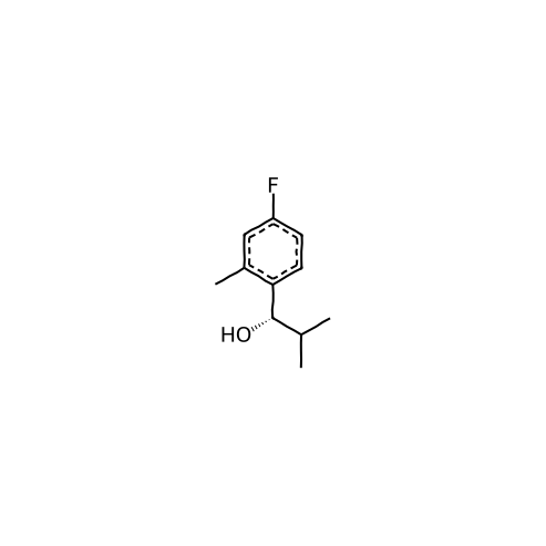 Cc1cc(F)ccc1[C@@H](O)C(C)C